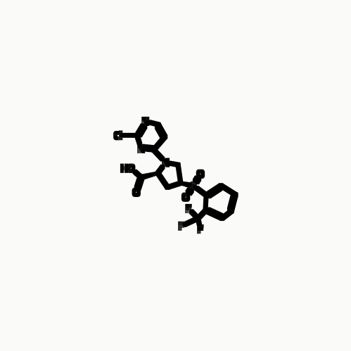 O=C(O)[C@@H]1C[C@H](S(=O)(=O)c2ccccc2C(F)(F)F)CN1c1ccnc(Cl)n1